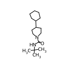 CC(C)(C)NC(=O)N1CCC(C2CCCCC2)CC1